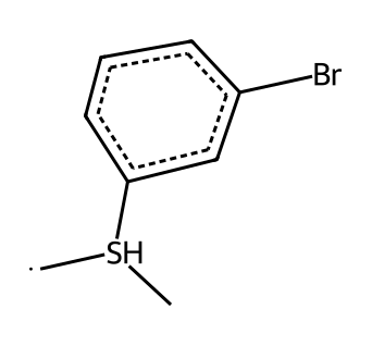 [CH2][SH](C)c1cccc(Br)c1